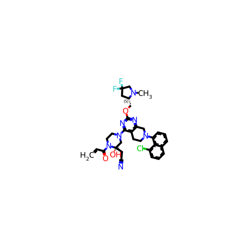 C=CC(=O)N1CCN(c2nc(OC[C@@H]3CC(F)(F)CN3C)nc3c2CCN(c2cccc4cccc(Cl)c24)C3)C[C@@]1(O)CC#N